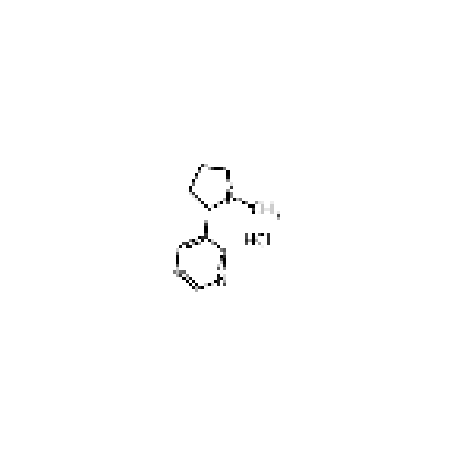 CN1CCCC1c1cccnc1.Cl